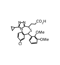 COc1cccc(C2SC(CCC(=O)O)c3nnc(C4CC4)n3-c3ccc(Cl)cc32)c1OC